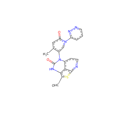 Cc1cc(=O)n(-c2cccnn2)cc1N1C(=O)Nc2c(C=O)sc3nccc1c23